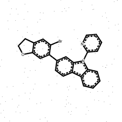 Brc1cc2c(cc1-c1ccc3c4ccccc4n(-c4ccccn4)c3c1)OCC2